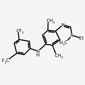 CCN(C)/C=N\c1cc(C)c(Nc2cc(C(F)(F)F)cc(C(F)(F)F)c2)cc1C